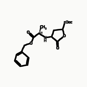 CCCCCCCCCCC1CC(N[C@@H](C)C(=O)OCc2ccccc2)C(=O)O1